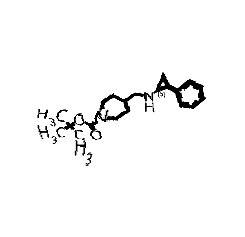 CC(C)(C)OC(=O)N1CCC(CN[C@H]2CC2c2ccccc2)CC1